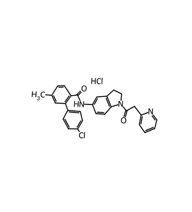 Cc1ccc(C(=O)Nc2ccc3c(c2)CCN3C(=O)Cc2ccccn2)c(-c2ccc(Cl)cc2)c1.Cl